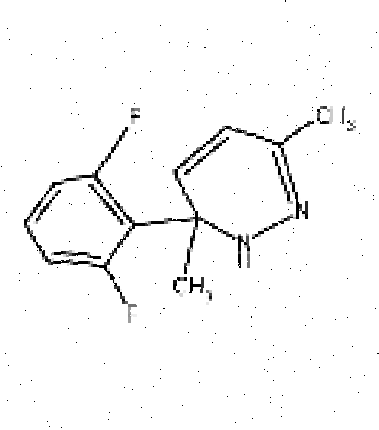 CC1=NNC(C)(c2c(F)cccc2F)C=C1